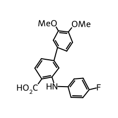 COc1ccc(-c2ccc(C(=O)O)c(Nc3ccc(F)cc3)c2)cc1OC